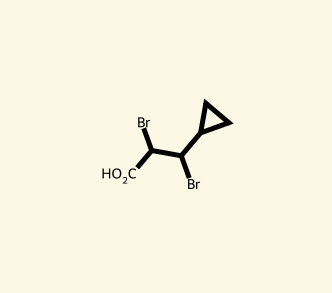 O=C(O)C(Br)C(Br)C1CC1